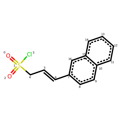 O=S(=O)(Cl)CC=Cc1ccc2ccccc2c1